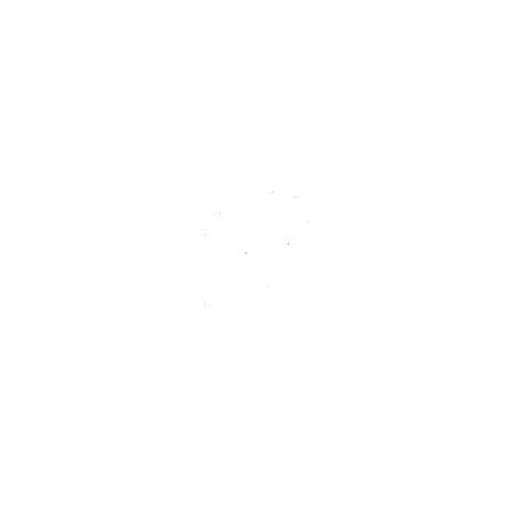 CC(OS(C)(=O)=O)(c1ccccc1)C1CC1